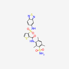 Cc1cc(C)c(S(N)(=O)=O)c(C)c1NC(=O)c1sccc1S(=O)(=O)Nc1ccc2nsnc2c1